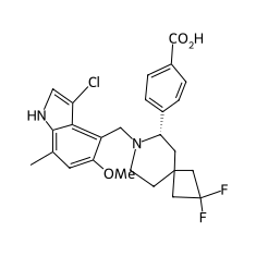 COc1cc(C)c2[nH]cc(Cl)c2c1CN1CCC2(C[C@H]1c1ccc(C(=O)O)cc1)CC(F)(F)C2